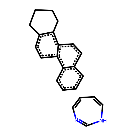 C1=CN=CNC=C1.c1ccc2c(c1)ccc1c3c(ccc12)CCCC3